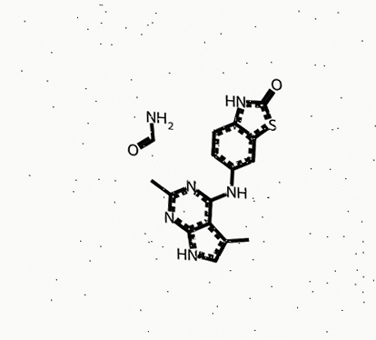 Cc1nc(Nc2ccc3[nH]c(=O)sc3c2)c2c(C)c[nH]c2n1.NC=O